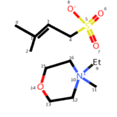 CC(C)=CCS(=O)(=O)[O-].CC[N+]1(C)CCOCC1